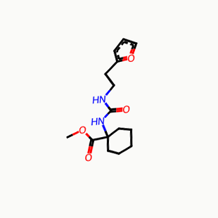 COC(=O)C1(NC(=O)NCCc2ccco2)CCCCC1